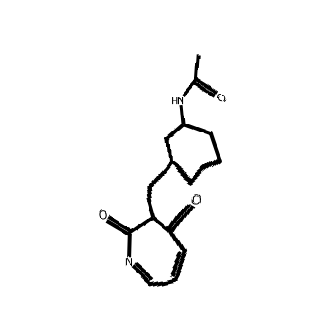 CC(=O)NC1CCCC(CC2C(=O)C=CC=NC2=O)C1